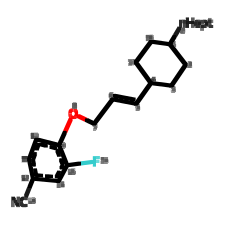 CCCCCCCC1CCC(/C=C/COc2ccc(C#N)cc2F)CC1